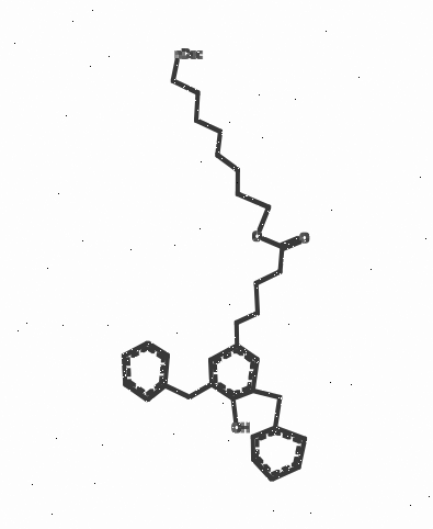 CCCCCCCCCCCCCCCCCCOC(=O)CCCCc1cc(Cc2ccccc2)c(O)c(Cc2ccccc2)c1